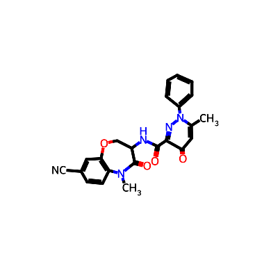 Cc1cc(=O)c(C(=O)NC2COc3cc(C#N)ccc3N(C)C2=O)nn1-c1ccccc1